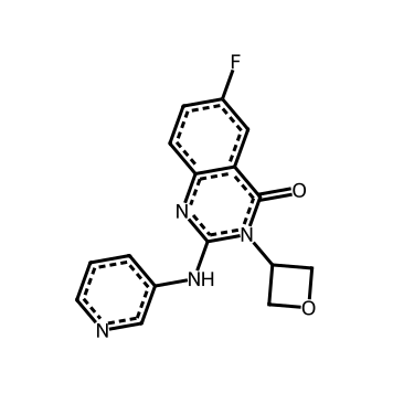 O=c1c2cc(F)ccc2nc(Nc2cccnc2)n1C1COC1